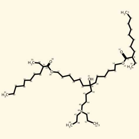 CCCCCCCCC(CC)C(=O)OCCCCCCC(O)(CCCCCCOC(=O)C(CC)CCCCCCCC)CCCCN(CCC)CCC